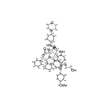 COc1ccc(C#Cc2ccc3c(c2)[C@]2(C(=O)N3)[C@H](C(=O)Nc3ccc(N4CCOCC4)cc3)[C@H]3C(=O)O[C@H](c4ccccc4)[C@H](c4ccccc4)N3[C@@H]2c2cccc(OCCO)c2)cc1